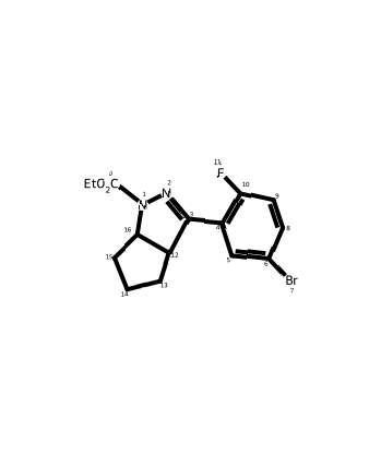 CCOC(=O)N1N=C(c2cc(Br)ccc2F)C2CCCC21